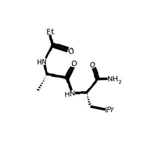 CCC(=O)N[C@@H](C)C(=O)N[C@@H](CC(C)C)C(N)=O